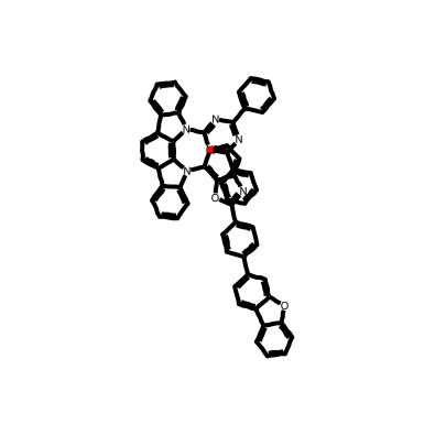 c1ccc(-c2nc(-c3ccccc3)nc(-n3c4ccccc4c4ccc5c6ccccc6n(-c6cccc7nc(-c8ccc(-c9ccc%10c(c9)oc9ccccc9%10)cc8)oc67)c5c43)n2)cc1